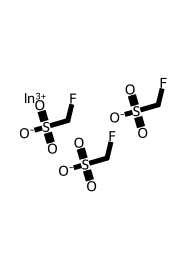 O=S(=O)([O-])CF.O=S(=O)([O-])CF.O=S(=O)([O-])CF.[In+3]